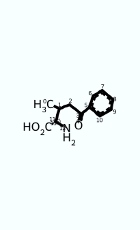 CC(CC(=O)c1ccccc1)[C@H](N)C(=O)O